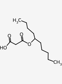 CCCCCC(CCCC)OC(=O)CC(=O)O